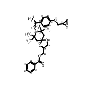 CC(ON1C(C)(C)CC2(CC1(C)C)OCC(COC(=O)c1ccccc1)O2)c1ccc(OCC2CO2)cc1